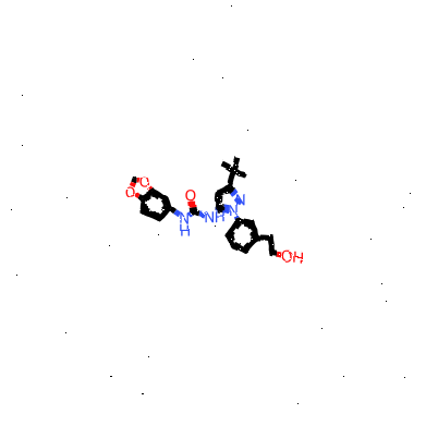 CC(C)(C)c1cc(NC(=O)Nc2ccc3c(c2)OCO3)n(-c2cccc(CCO)c2)n1